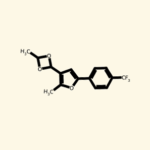 Cc1oc(-c2ccc(C(F)(F)F)cc2)cc1C1OC(C)O1